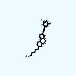 CCCCCCC1CCC2c3ccc(C#Cc4cc(F)c(F)c(F)c4)cc3CCC2C1